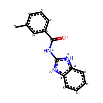 Cc1cccc(C(=O)Nc2nc3ccccc3[nH]2)c1